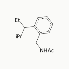 CCC(c1ccccc1CNC(C)=O)C(C)C